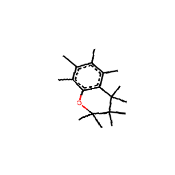 Cc1c(C)c(C)c2c(c1C)OC(C)(C)C(C)(C)C2(C)C